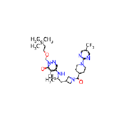 CC(CC1CN(C(=O)C2CCN(c3ncc(C(F)(F)F)cn3)CC2)C1)Nc1cnn(COCC[Si](C)(C)C)c(=O)c1C(F)(F)F